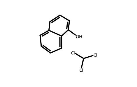 ClC(Cl)Cl.Oc1cccc2ccccc12